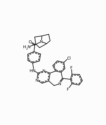 NC1CC2CCC(C1)N2C(=O)c1ccc(Nc2ncc3c(n2)-c2ccc(Cl)cc2C(c2c(F)cccc2F)=NC3)cc1